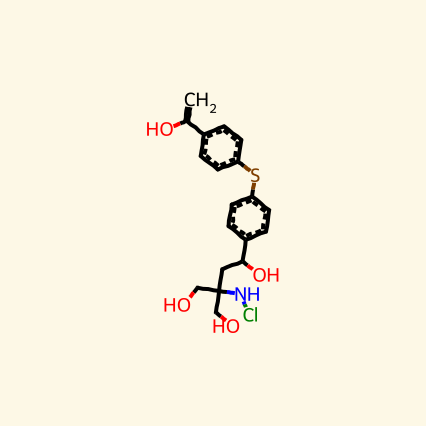 C=C(O)c1ccc(Sc2ccc(C(O)CC(CO)(CO)NCl)cc2)cc1